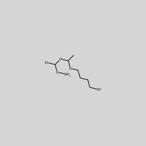 CCC(O[SiH3])OC(C)OCCCCS